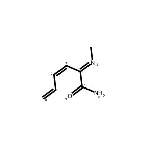 C=C/C=C\C(=N/C)C(N)=O